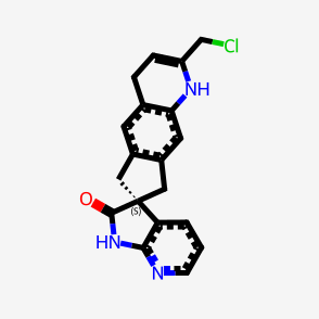 O=C1Nc2ncccc2[C@@]12Cc1cc3c(cc1C2)NC(CCl)=CC3